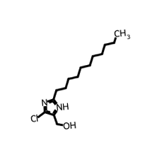 CCCCCCCCCCCc1nc(Cl)c(CO)[nH]1